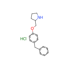 Cl.c1ccc(Cc2ccc(OCC3CCCN3)cc2)cc1